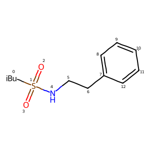 CCC(C)S(=O)(=O)NCCc1cc[c]cc1